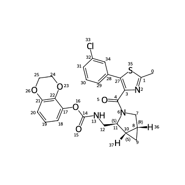 Cc1nc(C(=O)N2C[C@@H]3C[C@@H]3[C@H]2CNC(=O)Oc2cccc3c2OCCO3)c(-c2cccc(Cl)c2)s1